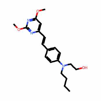 CCCCN(CCO)c1ccc(/C=C/c2cc(OC)nc(OC)n2)cc1